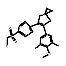 COc1c(F)cc(C2=C(c3ccc(S(=O)(=O)CF)cc3)CC3(CC3)C2)cc1F